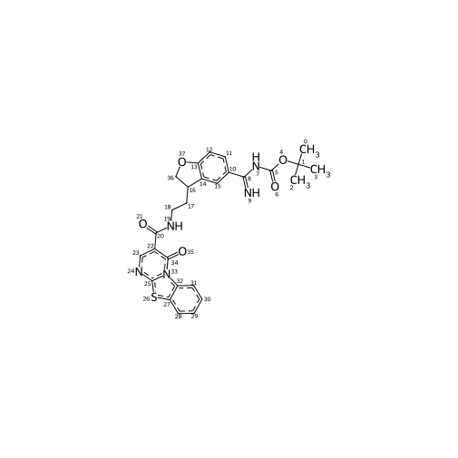 CC(C)(C)OC(=O)NC(=N)c1ccc2c(c1)C(CCNC(=O)c1cnc3sc4ccccc4n3c1=O)CO2